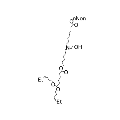 CC/C=C\CCOC(CCCCC(=O)OCCCCCCN(CCO)CCCCCCCC(=O)OCCCCCCCCC)OCC/C=C\CC